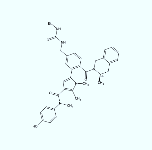 CCNC(=O)NCc1ccc(C(=O)N2Cc3ccccc3C[C@H]2C)c(-c2cc(C(=O)N(C)c3ccc(O)cc3)c(C)n2C)c1